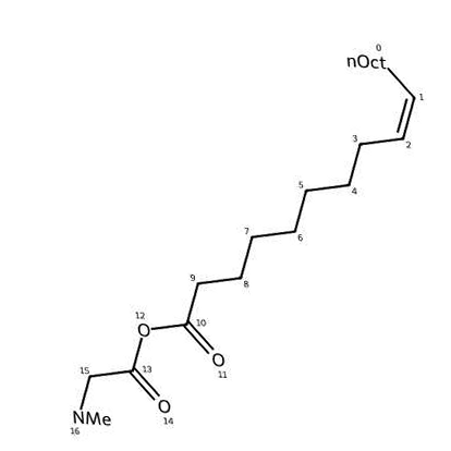 CCCCCCCC/C=C\CCCCCCCC(=O)OC(=O)CNC